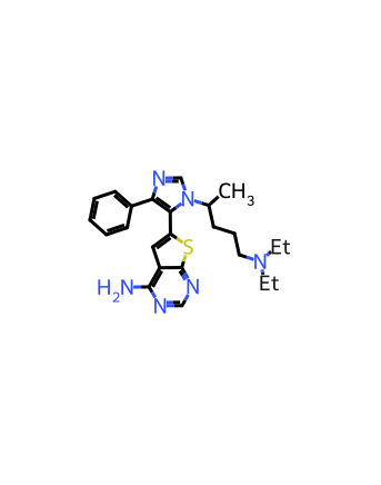 CCN(CC)CCCC(C)n1cnc(-c2ccccc2)c1-c1cc2c(N)ncnc2s1